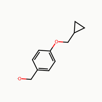 [O]Cc1ccc(OCC2CC2)cc1